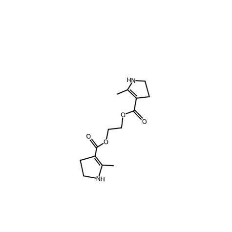 CC1=C(C(=O)OCCOC(=O)C2=C(C)NCC2)CCN1